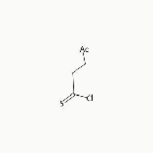 CC(=O)CCC(=S)Cl